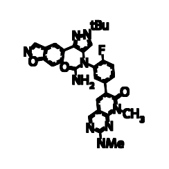 CNc1ncc2cc(-c3ccc(F)c(N(C(N)=O)c4cn(C(C)(C)C)nc4-c4ccc5oncc5c4)c3)c(=O)n(C)c2n1